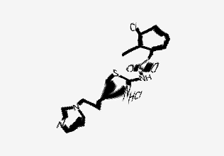 Cc1c(Cl)cccc1S(=O)(=O)Nc1nc(CCn2ccnc2)cs1.Cl